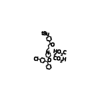 CC(C)(C)c1ccc(C(=O)CCCN2CCC(OC(c3ccccc3)c3ccc(Cl)cc3)CC2)cc1.O=C(O)/C=C/C(=O)O